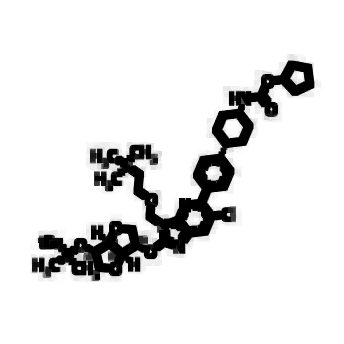 CC(C)(C)[Si](C)(C)O[C@@H]1CO[C@H]2[C@@H]1OC[C@H]2Oc1nc2cc(Cl)c(-c3ccc([C@H]4CC[C@@H](NC(=O)OC5CCCC5)CC4)cc3)nc2n1COCC[Si](C)(C)C